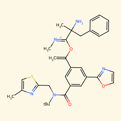 C=C(O/C(=N\C)C(C)(N)Cc1ccccc1)c1cc(C(=O)N(Cc2nc(C)cs2)C(C)(C)C)cc(-c2ncco2)c1